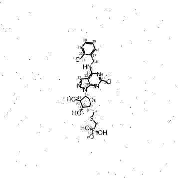 O=P(O)(O)CSC[C@H]1O[C@@H](n2ncc3c(NCc4ccccc4Cl)nc(Cl)nc32)[C@H](O)[C@@H]1O